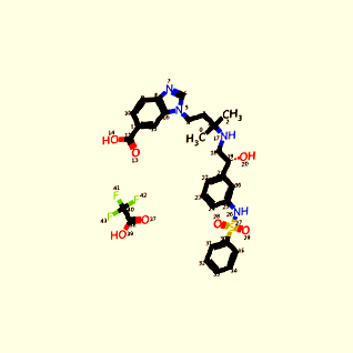 CC(C)(CCn1cnc2ccc(C(=O)O)cc21)NC[C@H](O)c1cccc(NS(=O)(=O)c2ccccc2)c1.O=C(O)C(F)(F)F